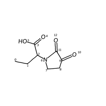 CCC(C(=O)O)N1CCC(=O)C1=O